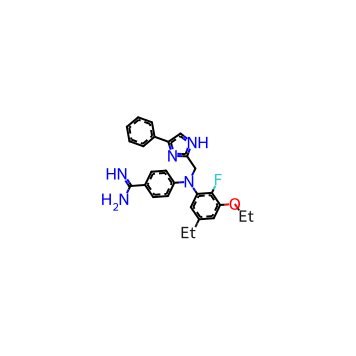 CCOc1cc(CC)cc(N(Cc2nc(-c3ccccc3)c[nH]2)c2ccc(C(=N)N)cc2)c1F